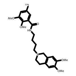 COc1cc2c(cc1OC)CN(CCCCNC(=O)c1cc([124I])cc(OC)c1OC)CC2